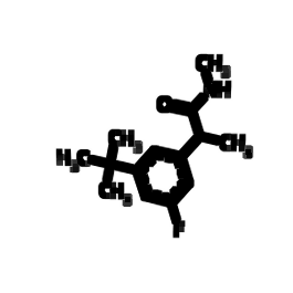 CNC(=O)C(C)c1cc(F)cc(C(C)(C)C)c1